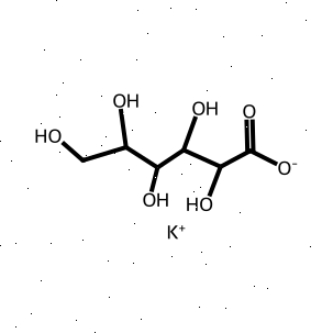 O=C([O-])C(O)C(O)C(O)C(O)CO.[K+]